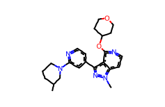 CC1CCCN(c2cc(-c3nn(C)c4ccnc(OC5CCOCC5)c34)ccn2)C1